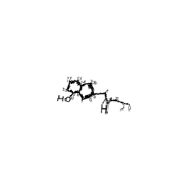 CCCNCc1ccc2c(O)cccc2c1